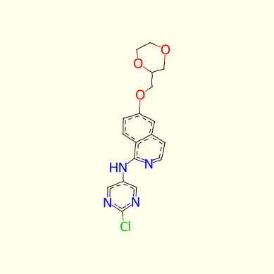 Clc1ncc(Nc2nccc3cc(OCC4COCCO4)ccc23)cn1